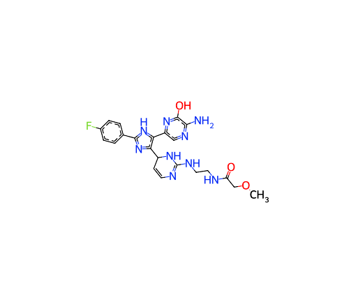 COCC(=O)NCCNC1=NC=CC(c2nc(-c3ccc(F)cc3)[nH]c2-c2cnc(N)c(O)n2)N1